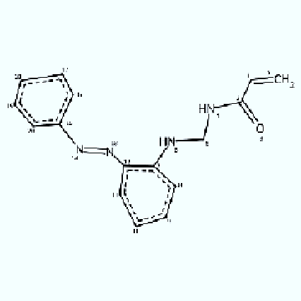 C=CC(=O)NCNc1ccccc1N=Nc1ccccc1